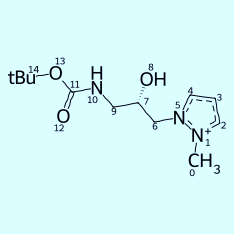 C[n+]1cccn1C[C@@H](O)CNC(=O)OC(C)(C)C